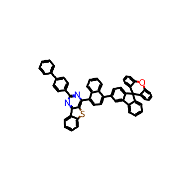 c1ccc(-c2ccc(-c3nc(-c4ccc(-c5ccc6c(c5)-c5ccccc5C65c6ccccc6Oc6ccccc65)c5ccccc45)c4sc5ccccc5c4n3)cc2)cc1